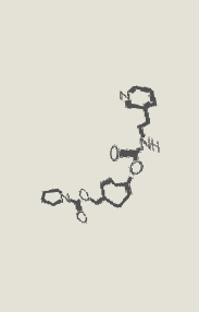 O=C(NCCc1cccnc1)OC1CCC(COC(=O)N2CCCC2)CC1